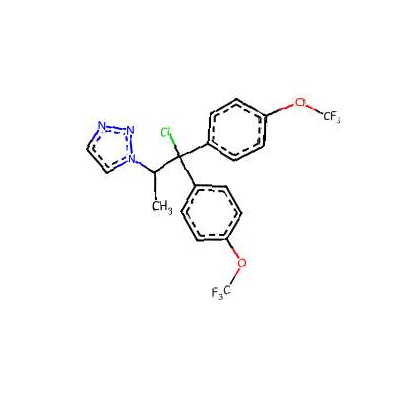 CC(n1ccnn1)C(Cl)(c1ccc(OC(F)(F)F)cc1)c1ccc(OC(F)(F)F)cc1